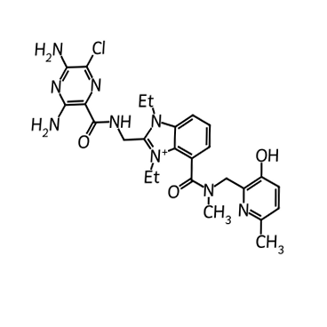 CCn1c(CNC(=O)c2nc(Cl)c(N)nc2N)[n+](CC)c2c(C(=O)N(C)Cc3nc(C)ccc3O)cccc21